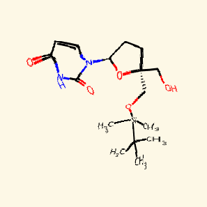 CC(C)(C)[Si](C)(C)OC[C@@]1(CO)CC[C@H](n2ccc(=O)[nH]c2=O)O1